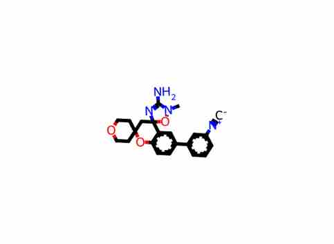 [C-]#[N+]c1cccc(-c2ccc3c(c2)C2(CC4(CCOCC4)O3)N=C(N)N(C)O2)c1